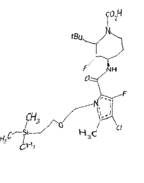 Cc1c(Cl)c(F)c(C(=O)N[C@@H]2CCN(C(=O)O)C(C(C)(C)C)[C@H]2F)n1COCC[Si](C)(C)C